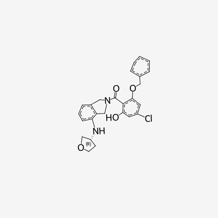 O=C(c1c(O)cc(Cl)cc1OCc1ccccc1)N1Cc2cccc(N[C@@H]3CCOC3)c2C1